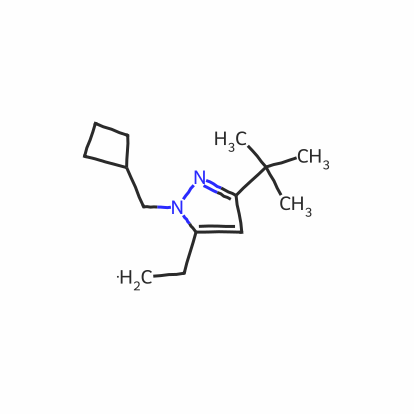 [CH2]Cc1cc(C(C)(C)C)nn1CC1CCC1